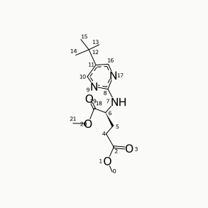 COC(=O)CC[C@H](Nc1ncc(C(C)(C)C)cn1)C(=O)OC